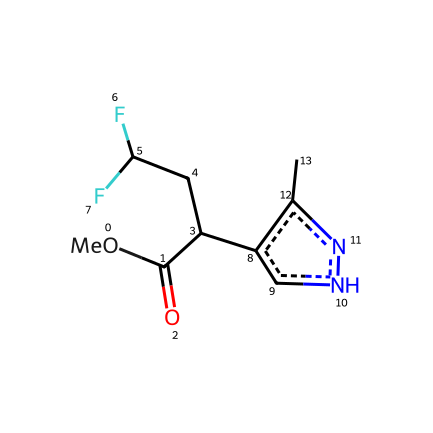 COC(=O)C(CC(F)F)c1c[nH]nc1C